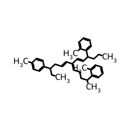 CCCC(C=CC(C=CCC(CC)c1ccc(C)cc1)=CCCC(C)c1ccccc1C)c1ccccc1C